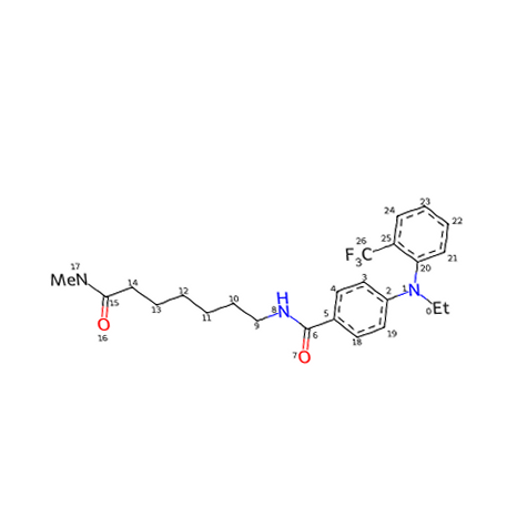 CCN(c1ccc(C(=O)NCCCCCCC(=O)NC)cc1)c1ccccc1C(F)(F)F